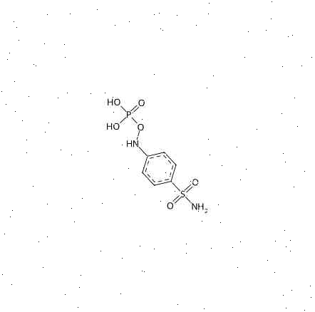 NS(=O)(=O)c1ccc(NOP(=O)(O)O)cc1